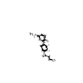 CN(CC=O)c1ccc(-c2cncc(N)n2)cc1